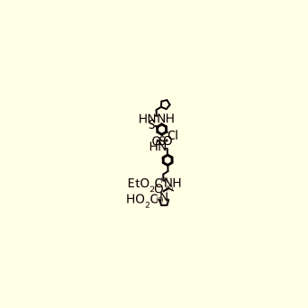 CCOC(=O)[C@H](CCc1ccc(CNS(=O)(=O)c2cc3c(cc2Cl)NC(CC2CCCC2)NS3)cc1)N[C@@H](C)C(=O)N1CCC[C@H]1C(=O)O